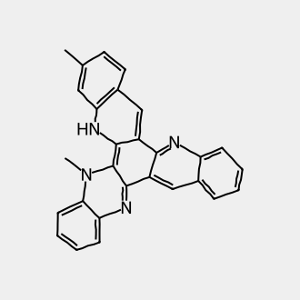 Cc1ccc2c(c1)Nc1c3c(c4cc5ccccc5nc4c1=C2)=Nc1ccccc1N3C